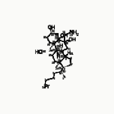 CC(C)CCC[C@@H](C)[C@H]1CC[C@H]2[C@@H]3C[C@@](O)(CN)[C@@]4(O)C[C@@H](O)CC[C@]4(C)[C@H]3CC[C@]12C.Cl